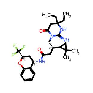 CCC1(CC)CC(=O)N(C[C@@H](CC(=O)N[C@H]2C[C@H](C(F)(F)F)Oc3ccccc32)C2CC2(C)C)C(=N)N1